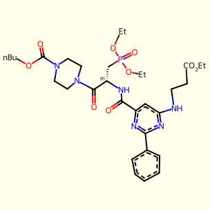 CCCCOC(=O)N1CCN(C(=O)[C@H](CP(=O)(OCC)OCC)NC(=O)c2cc(NCCC(=O)OCC)nc(-c3ccccc3)n2)CC1